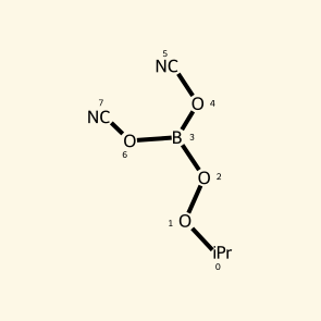 CC(C)OOB(OC#N)OC#N